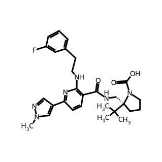 Cn1cc(-c2ccc(C(=O)NC[C@@]3(C(C)(C)C)CCCN3C(=O)O)c(NCCc3cccc(F)c3)n2)cn1